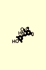 COc1cc2c(c(OC)c1)C(C=O)NC(c1cc(C)c(O)c(C)c1)=C2